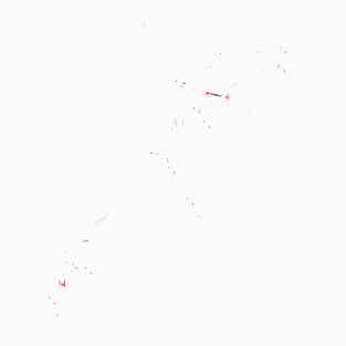 CC(C)(C(NC(=O)OC1COC1)C(=O)N[C@@H](Cc1ccc(C#Cc2ccc(N3CC4CCC(C3)N4C3COC3)nc2)cc1)[C@@H](O)CN(Cc1c(F)cc(-c2ccn(C(F)F)n2)cc1F)NC(=O)[C@@H](NC(=O)OC1COC1)C(C)(C)C(F)(F)F)C(F)(F)F